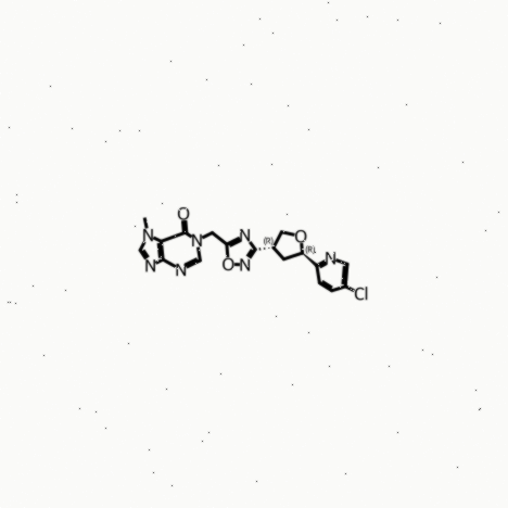 Cn1cnc2ncn(Cc3nc([C@@H]4CO[C@@H](c5ccc(Cl)cn5)C4)no3)c(=O)c21